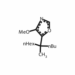 CCCCCCC(C)(CCCC)c1ocnc1OC